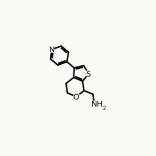 NCC1OCCc2c(-c3ccncc3)csc21